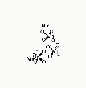 [Mn+2].[Na+].[O]=[Mn](=[O])(=[O])[O-].[O]=[Mn](=[O])(=[O])[O-].[O]=[Mn](=[O])(=[O])[O-]